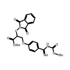 COC(=O)C(COc1ccc(C(=N)NC(=O)OC(C)(C)C)cc1)ON1C(=O)c2ccccc2C1=O